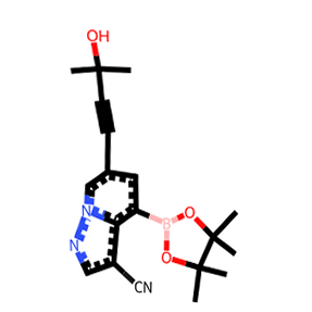 CC(C)(O)C#Cc1cc(B2OC(C)(C)C(C)(C)O2)c2c(C#N)cnn2c1